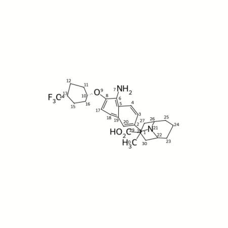 CC(c1ccc2c(N)c(O[C@H]3CC[C@@H](C(F)(F)F)CC3)ccc2c1)N1C2CCCC1CC(C(=O)O)C2